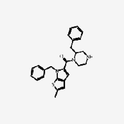 Cc1cc2cc(C(=O)N3CCNCC3Cc3ccccc3)n(Cc3ccccc3)c2s1